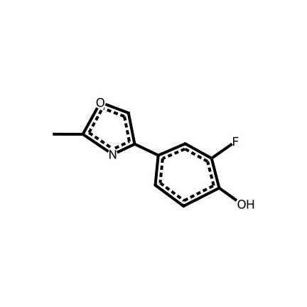 Cc1nc(-c2ccc(O)c(F)c2)co1